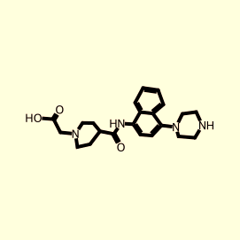 O=C(O)CN1CCC(C(=O)Nc2ccc(N3CCNCC3)c3ccccc23)CC1